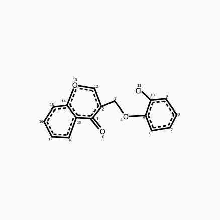 O=c1c(COc2ccccc2Cl)coc2ccccc12